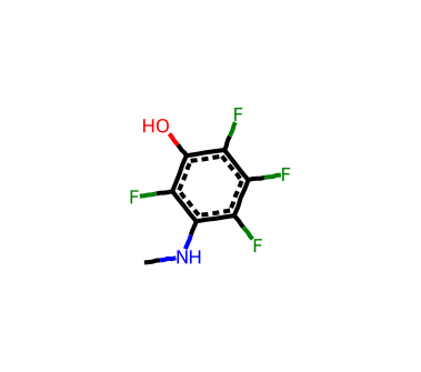 CNc1c(F)c(O)c(F)c(F)c1F